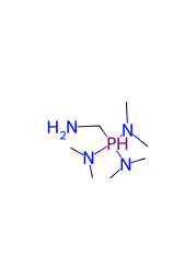 CN(C)[PH](CN)(N(C)C)N(C)C